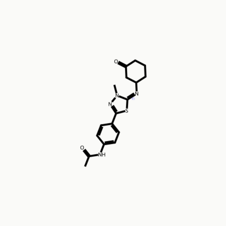 CC(=O)Nc1ccc(-c2nn(C)/c(=N\C3CCCC(=O)C3)s2)cc1